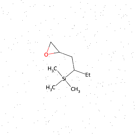 CCC(CC1CO1)[Si](C)(C)C